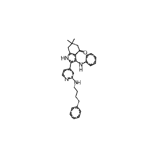 CC1(C)CC(=O)c2c([nH]c(-c3ccnc(NCCCCc4ccccc4)c3)c2Nc2ccccc2)C1